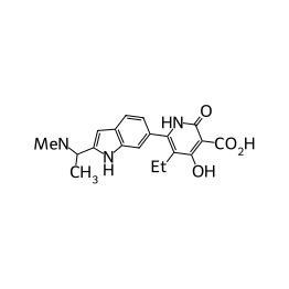 CCc1c(-c2ccc3cc(C(C)NC)[nH]c3c2)[nH]c(=O)c(C(=O)O)c1O